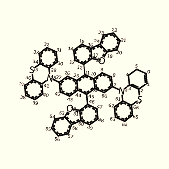 C1=CC2=C(CC1)N(c1ccc3c(-c4cccc5c4oc4ccccc45)c4cc(N5c6ccccc6Sc6ccccc65)ccc4c(-c4cccc5c4oc4ccccc45)c3c1)c1ccccc1S2